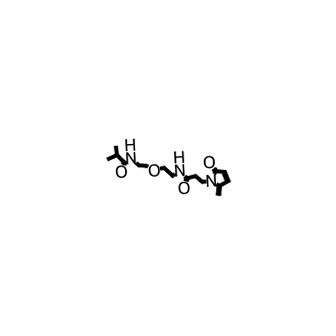 C=C1C=CC(=O)N1CCC(=O)NCCOCCNC(=O)C(C)C